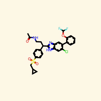 CC(=O)NCCC(c1ccc(S(=O)(=O)CC2CC2)cc1)c1nc2cc(-c3ccccc3OC(F)F)c(Cl)cc2[nH]1